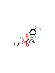 CCOC(=O)C(C)(C)S(=O)(=O)c1ccc(C)cc1F